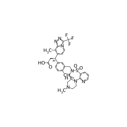 Cc1ccc([C@@H](CC(=O)O)c2ccn3c(C(F)(F)F)nnc3c2C)cc1CN1C[C@@H]2CN(C)CCN2c2ncccc2S1(=O)=O